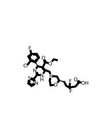 CCOC(=O)C1=C(CN2CCO[C@H](CCC(F)(F)CC(=O)O)C2)NC(c2nccs2)=N[C@H]1c1ccc(F)cc1Cl